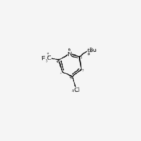 CC(C)(C)c1cc(Cl)cc(C(F)(F)F)n1